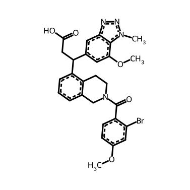 COc1ccc(C(=O)N2CCc3c(cccc3C(CC(=O)O)c3cc(OC)c4c(c3)nnn4C)C2)c(Br)c1